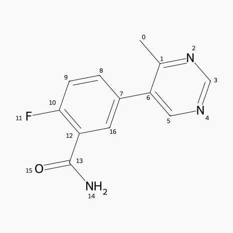 Cc1ncncc1-c1ccc(F)c(C(N)=O)c1